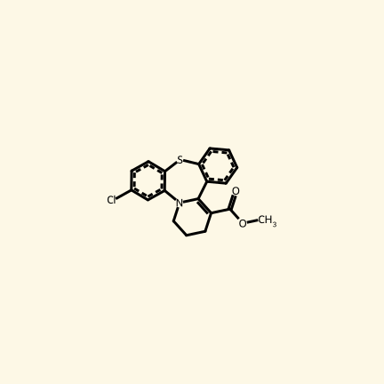 COC(=O)C1=C2c3ccccc3Sc3ccc(Cl)cc3N2CCC1